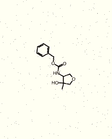 CC1(O)COCC1NC(=O)OCc1ccccc1